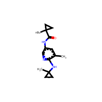 CCCCC1(C(=O)Nc2cnc(NC3(C)CC3)c(C)c2)CC1